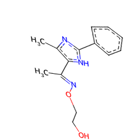 CC(=NOCCO)c1[nH]c(-c2ccccc2)nc1C